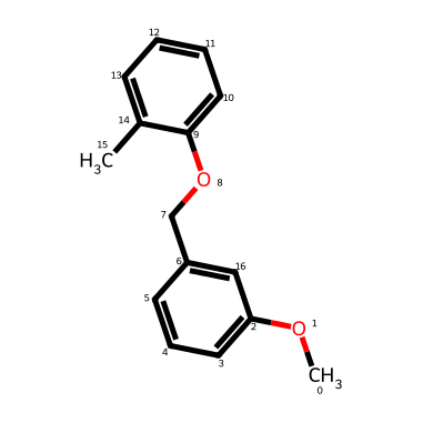 COc1cccc(COc2ccccc2C)c1